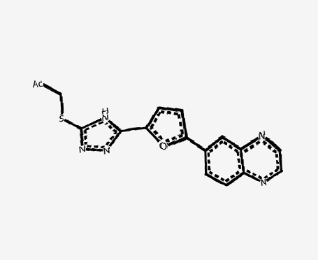 CC(=O)CSc1nnc(-c2ccc(-c3ccc4nccnc4c3)o2)[nH]1